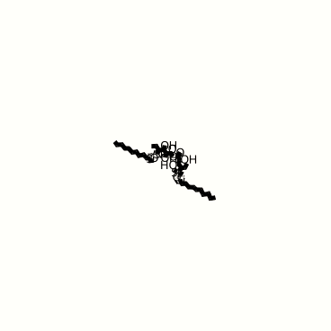 CCCCCCCCCC[Si](C)(C)O[Si](C)(C)C(CC)C(O)C(O)C(=O)OC(=O)C(O)C(O)C(CC)[Si](C)(C)O[Si](C)(C)CCCCCCCCCC